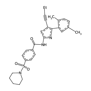 CCC#Cc1sc(NC(=O)c2ccc(S(=O)(=O)N3CCCCC3)cc2)nc1-c1cc(C)ccc1C